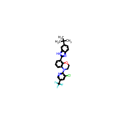 CC(C)(C)c1ccc2nc(-c3cccc4c3OCCN4c3ncc(C(F)(F)F)cc3Cl)[nH]c2c1